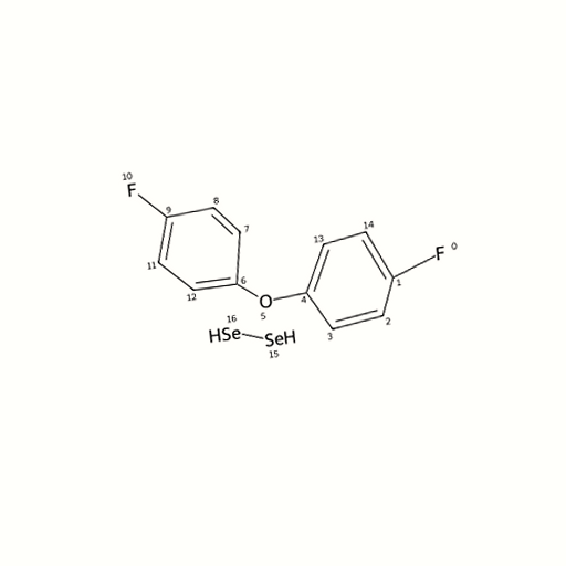 Fc1ccc(Oc2ccc(F)cc2)cc1.[SeH][SeH]